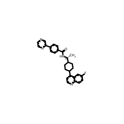 C[C@@H](NC(=O)c1ccc(-c2cnccn2)cc1)C1CCC(c2ccnc3ccc(F)cc23)CC1